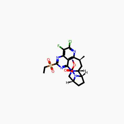 CCS(=O)(=O)c1nc2c3c(nc(Cl)c(F)c3n1)[C@@H](C)C[C@@H]1[C@@H]3CC[C@H](CN21)N3C(=O)OI